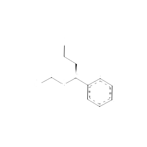 CCC[C@H](NCC)c1ccccc1